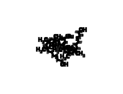 CC(C)(CCCSCCO)CC(C)(C)CC(C)(C)c1cc(C(C)(C)C)cc(C(C)(C)CC(C)(C)CC(C)(C)CCCSCCO)c1